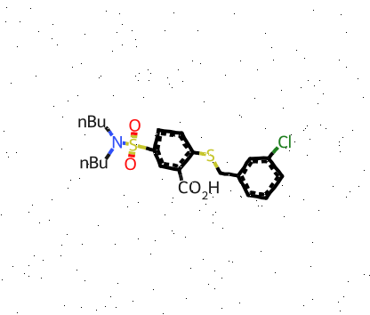 CCCCN(CCCC)S(=O)(=O)c1ccc(SCc2cccc(Cl)c2)c(C(=O)O)c1